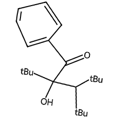 CC(C)(C)C(C(C)(C)C)C(O)(C(=O)c1ccccc1)C(C)(C)C